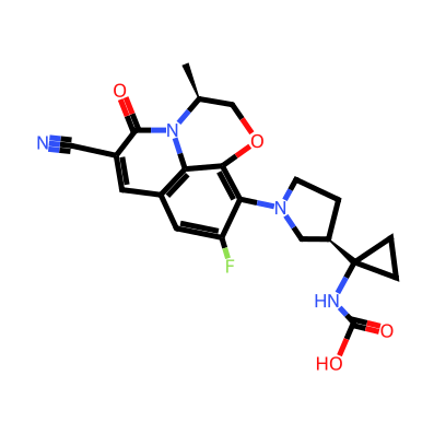 C[C@H]1COc2c(N3CC[C@@H](C4(NC(=O)O)CC4)C3)c(F)cc3cc(C#N)c(=O)n1c23